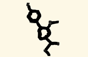 COC(=O)c1ccc(-c2ccc(F)cc2)c(OC)c1